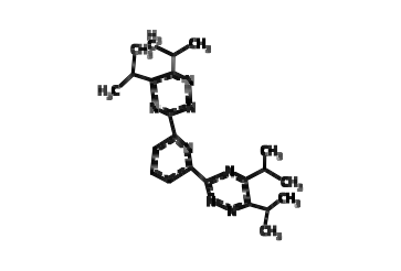 CC(C)c1nnc(-c2cccc(-c3nnc(C(C)C)c(C(C)C)n3)n2)nc1C(C)C